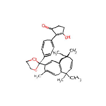 Cc1cc2c(cc1C1(c3ccc(C4=C(O)CCC4=O)cc3)OCCO1)C(C)(C)C=CC2(C)C